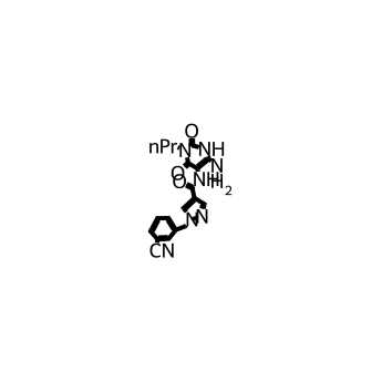 CCCn1c(=O)[nH]c(N)c(NC(=O)c2cnn(Cc3cccc(C#N)c3)c2)c1=O